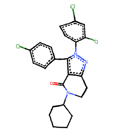 O=C1c2c(nn(-c3ccc(Cl)cc3Cl)c2-c2ccc(Cl)cc2)CCN1C1CCCCC1